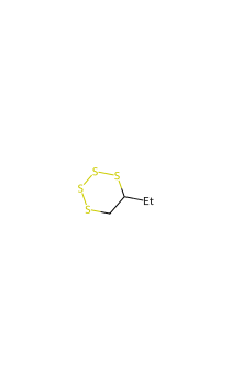 CCC1CSSSS1